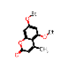 CCOc1cc(OCC)c2c(C)cc(=O)oc2c1